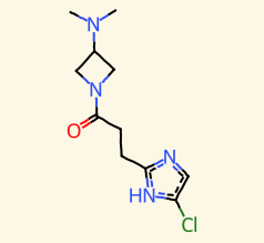 CN(C)C1CN(C(=O)CCc2ncc(Cl)[nH]2)C1